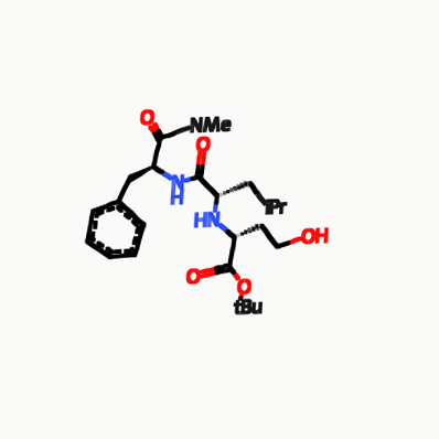 CNC(=O)[C@H](Cc1ccccc1)NC(=O)[C@H](CC(C)C)N[C@H](CCO)C(=O)OC(C)(C)C